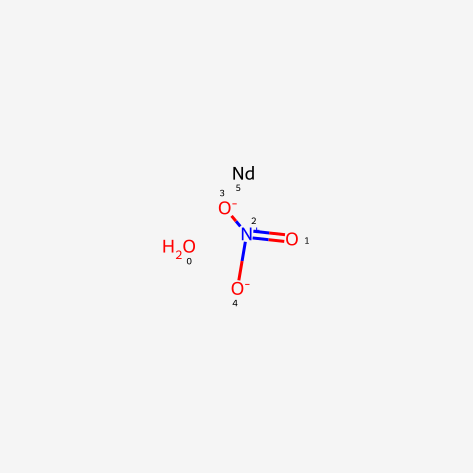 O.O=[N+]([O-])[O-].[Nd]